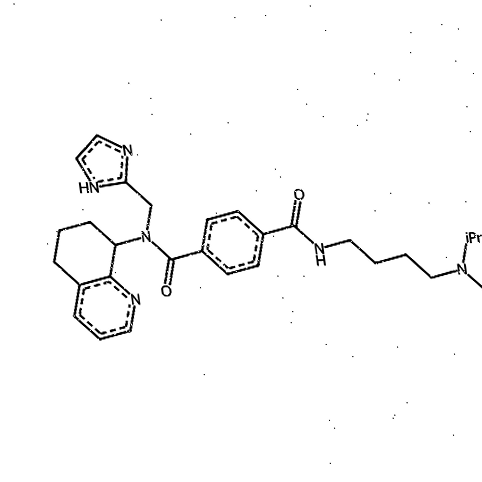 CC(C)N(CCCCNC(=O)c1ccc(C(=O)N(Cc2ncc[nH]2)C2CCCc3cccnc32)cc1)C(C)C